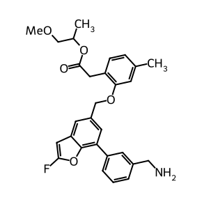 COCC(C)OC(=O)Cc1ccc(C)cc1OCc1cc(-c2cccc(CN)c2)c2oc(F)cc2c1